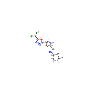 FC(F)c1nnc(-c2cnc(CNc3cccc(Cl)c3)s2)o1